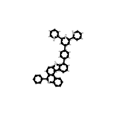 c1ccc(-c2nc3ccccc3c3c2ccc2oc4c(-c5ccc(-c6cc(-c7ccccn7)nc(-c7ccccn7)c6)cc5)cccc4c23)cc1